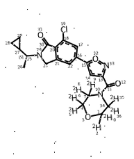 [2H]C1([2H])OC([2H])([2H])C([2H])([2H])N(C(=O)c2cc(-c3cc(Cl)c4c(c3)CN([C@@H](C)C3CC3)C4=O)on2)C1([2H])[2H]